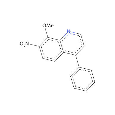 COc1c([N+](=O)[O-])ccc2c(-c3ccccc3)ccnc12